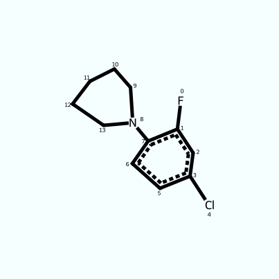 Fc1cc(Cl)ccc1N1CCCCC1